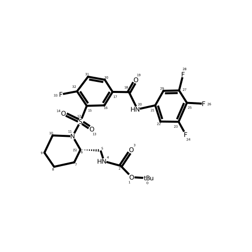 CC(C)(C)OC(=O)NC[C@@H]1CCCCN1S(=O)(=O)c1cc(C(=O)Nc2cc(F)c(F)c(F)c2)ccc1F